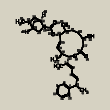 C/C(=C\C=C\[C@@H](C)c1ccccn1)[C@H]1OC(=O)C[C@H](O)CC[C@H](C)[C@@H](OC(=O)N2C[C@H]3C[C@H]2CN3C)/C=C/[C@@H]1C